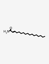 CCCCCCCCCCCCCCC=CC(N)=O